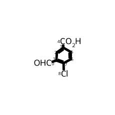 O=Cc1cc(C(=O)O)ccc1Cl